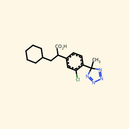 CC1(c2ccc(C(CC3CCCCC3)C(=O)O)cc2Cl)N=NN=N1